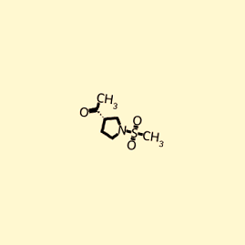 CC(=O)[C@H]1CCN(S(C)(=O)=O)C1